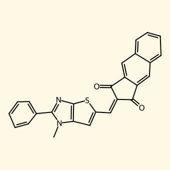 Cn1c(-c2ccccc2)nc2sc(C=C3C(=O)c4cc5ccccc5cc4C3=O)cc21